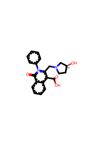 O=C(O)c1c(CN2CC[C@H](O)C2)n(-c2ccccc2)c(=O)c2ccccc12